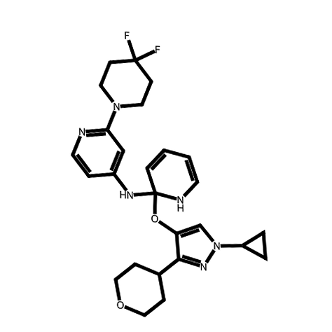 FC1(F)CCN(c2cc(NC3(Oc4cn(C5CC5)nc4C4CCOCC4)C=CC=CN3)ccn2)CC1